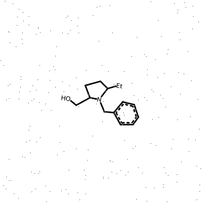 CCC1CCC(CO)N1Cc1ccccc1